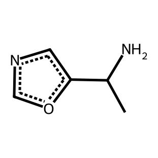 CC(N)c1cnco1